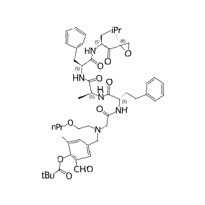 CCCOCCN(CC(=O)N[C@@H](CCc1ccccc1)C(=O)N[C@@H](C)C(=O)N[C@@H](Cc1ccccc1)C(=O)N[C@@H](CC(C)C)C(=O)[C@@]1(C)CO1)Cc1cc(C)c(OC(=O)C(C)(C)C)c(C=O)c1